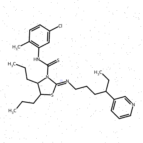 CCCC1S/C(=N\CCCC(CC)c2cccnc2)N(C(=S)Nc2cc(Cl)ccc2C)C1CCC